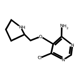 Nc1ncnc(Cl)c1OCC1CCCN1